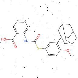 COc1ccc(SC(=O)Nc2ccccc2C(=O)O)cc1C12CC3CC(CC(C3)C1)C2